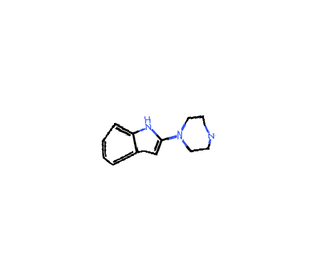 c1ccc2[nH]c(N3CC[N]CC3)cc2c1